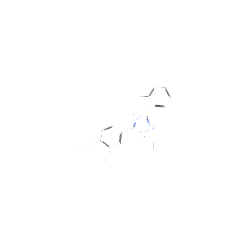 Cn1nc(-c2c(F)cccc2Cl)nc1-c1ccc(O)c(Cl)c1